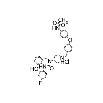 CS(=O)(=O)Nc1ccc(Oc2ccc(CN3CCC(N(Cc4cccc(O)c4)C(=O)Nc4ccc(F)cc4)CC3)cc2)cc1.Cl